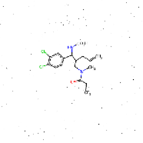 C=CCC(CN(C)C(=O)CC(F)(F)F)C(NC(=O)O)c1ccc(Cl)c(Cl)c1